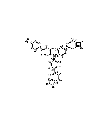 CC(C)c1ccc(-c2ccc(N(c3ccc(-c4ccc5c(c4)CC5)cc3)c3ccc(-c4ccc5c(c4)CC5)cc3)cc2)cc1